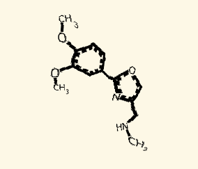 CNCc1coc(-c2ccc(OC)c(OC)c2)n1